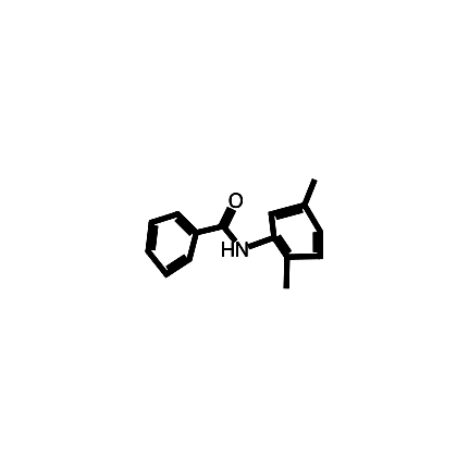 Cc1ccc(C)c(NC(=O)c2ccccc2)c1